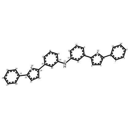 c1ccc(-c2ccc(-c3cccc(Nc4cccc(-c5ccc(-c6ccccc6)s5)c4)c3)s2)cc1